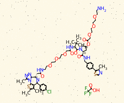 Cc1ncsc1-c1ccc(CNC(=O)[C@@H]2C[C@@H](OC(=O)COCCOCCOCCN)CN2C(=O)[C@@H](NC(=O)COCCOCCOCCNC(=O)C[C@@H]2N=C(c3ccc(Cl)cc3)c3c(sc(C)c3C)-n3c(C)nnc32)C(C)(C)C)cc1.O=C(O)C(F)(F)F